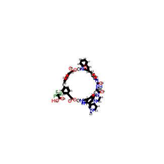 Cc1cc2cc3cn(nc13)COC(=O)c1ccc(cc1)Cc1ccc(cc1)C(=O)OCn1c(=O)c(cc3ccccc31)C1CCN(CC1)C(=O)N[C@@H](C(=O)N1CCN(C3CCN(C)CC3)CC1)C2.O=C(O)C(F)(F)F